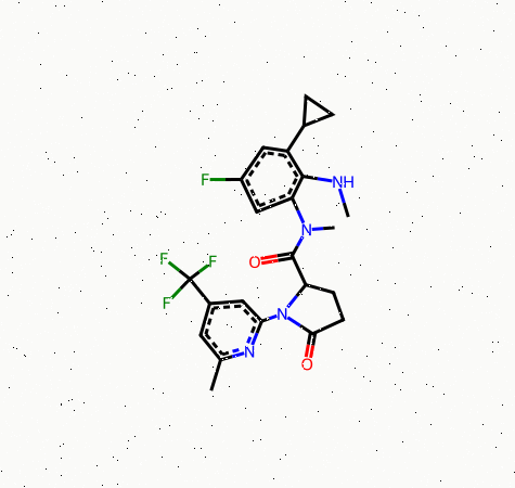 CNc1c(C2CC2)cc(F)cc1N(C)C(=O)C1CCC(=O)N1c1cc(C(F)(F)F)cc(C)n1